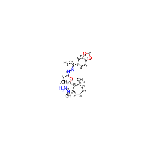 CCC(=NN=C(C)c1ccc2c(c1)OCO2)OCC1=C(C)C=CCC=C1N(C)N